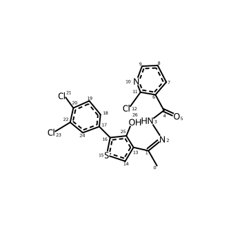 CC(=NNC(=O)c1cccnc1Cl)c1csc(-c2ccc(Cl)c(Cl)c2)c1O